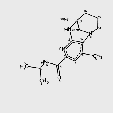 Cc1cc(C(=O)NC(C)C(F)(F)F)nc2c1N1CCC[C@@H](C1)N2